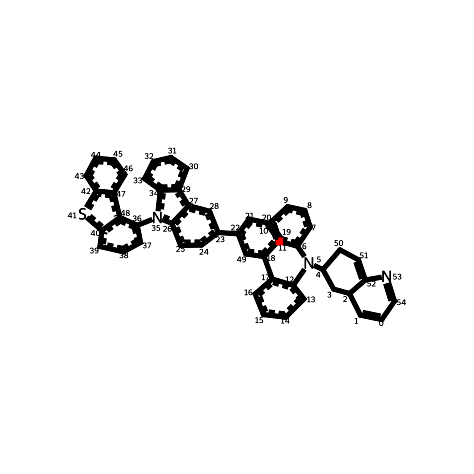 C1=CC2CC(N(c3ccccc3)c3ccccc3-c3cccc(-c4ccc5c(c4)c4ccccc4n5-c4cccc5sc6ccccc6c45)c3)CC=C2N=C1